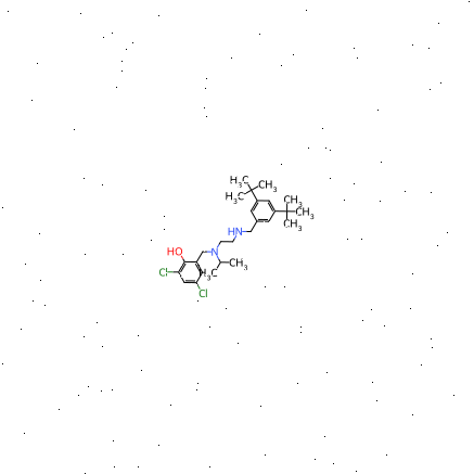 CC(C)N(CCNCc1cc(C(C)(C)C)cc(C(C)(C)C)c1)Cc1cc(Cl)cc(Cl)c1O